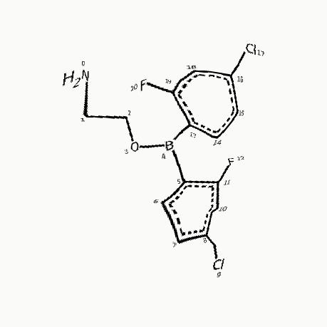 NCCOB(c1ccc(Cl)cc1F)c1ccc(Cl)cc1F